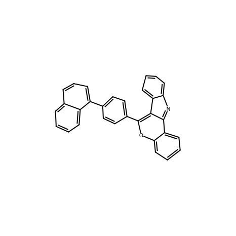 c1ccc2c(-c3ccc(-c4oc5ccccc5c5nc6ccccc6c4-5)cc3)cccc2c1